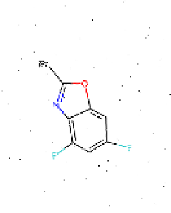 CC(C)c1nc2c(F)cc(F)cc2o1